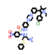 CCn1c(C)c(C)c(-c2cccc(N3CCN(c4ccc(N[S+]([O-])c5cc([N+](=O)[O-])ccc5NC(CCN(C)C)CSc5ccccc5)cc4)CC3)c2)c1-c1ccc(Cl)cc1